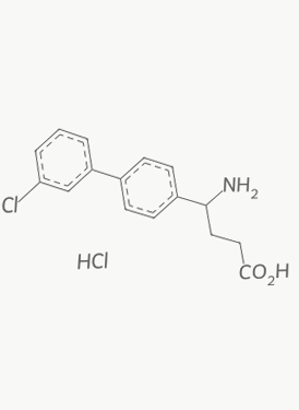 Cl.NC(CCC(=O)O)c1ccc(-c2cccc(Cl)c2)cc1